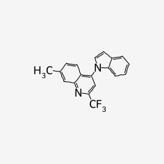 Cc1ccc2c(-n3ccc4ccccc43)cc(C(F)(F)F)nc2c1